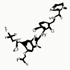 Cn1ccnc1C(=O)NCc1ccc(Cl)c(Nc2nc3cc(C(=O)NCC(F)(F)F)c(OCC(F)F)cc3n2C)c1Cl